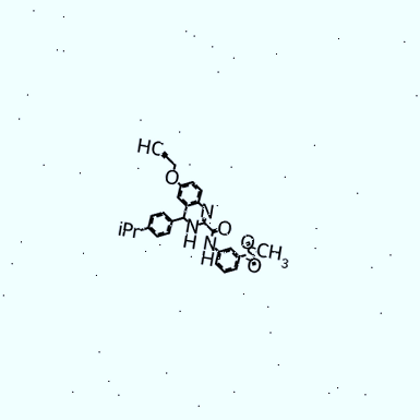 C#CCOc1ccc2c(c1)C(c1ccc(C(C)C)cc1)NC(C(=O)Nc1cccc(S(C)(=O)=O)c1)=N2